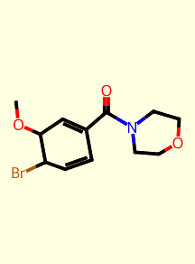 COC1C=C(C(=O)N2CCOCC2)C=CC1Br